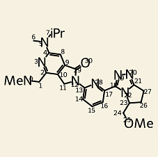 CNCc1nc(N(C)C(C)C)cc2c1CN(c1cccc(-c3nnc4n3C(COC)CC4)n1)C2=O